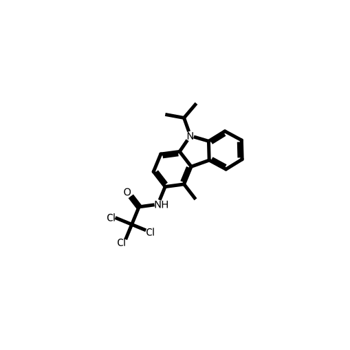 Cc1c(NC(=O)C(Cl)(Cl)Cl)ccc2c1c1ccccc1n2C(C)C